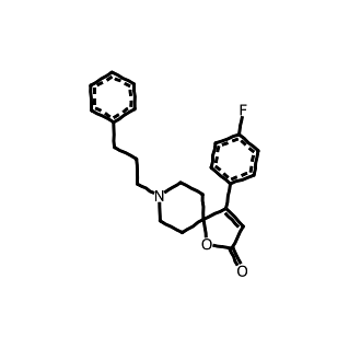 O=C1C=C(c2ccc(F)cc2)C2(CCN(CCCc3ccccc3)CC2)O1